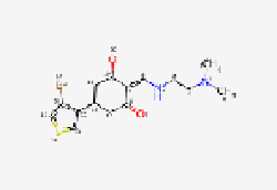 CN(C)CCNC=C1C(=O)CC(c2cscc2Br)CC1=O